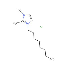 CCCCCCCC[n+]1ccn(C)c1C.[Cl-]